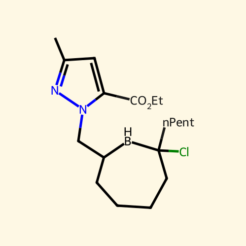 CCCCCC1(Cl)BC(Cn2nc(C)cc2C(=O)OCC)CCCC1